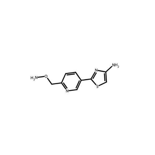 NOCc1ccc(-c2nc(N)cs2)cn1